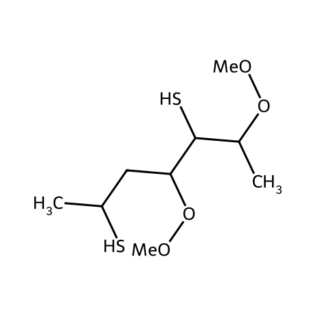 COOC(C)C(S)C(CC(C)S)OOC